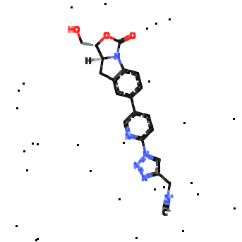 [C-]#[N+]Cc1cn(-c2ccc(-c3ccc4c(c3)C[C@H]3[C@H](CO)OC(=O)N43)cn2)nn1